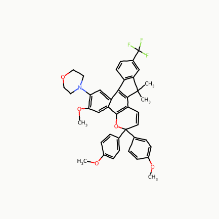 COc1ccc(C2(c3ccc(OC)cc3)C=Cc3c4c(c5cc(N6CCOCC6)c(OC)cc5c3O2)-c2ccc(C(F)(F)F)cc2C4(C)C)cc1